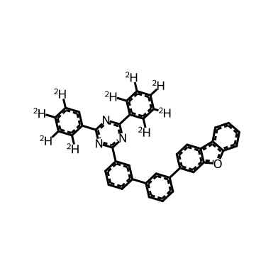 [2H]c1cc(-c2nc(-c3cccc(-c4cccc(-c5ccc6c(c5)oc5ccccc56)c4)c3)nc(-c3c([2H])c([2H])c([2H])c([2H])c3[2H])n2)c([2H])c([2H])c1[2H]